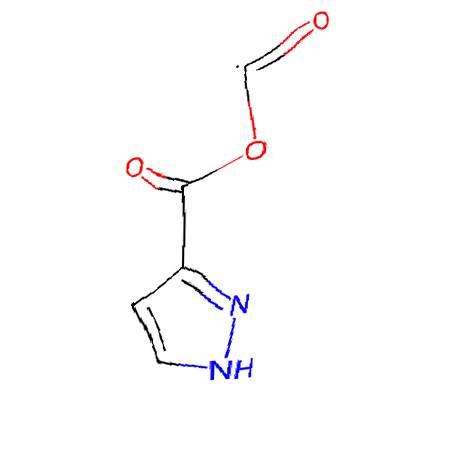 O=[C]OC(=O)c1cc[nH]n1